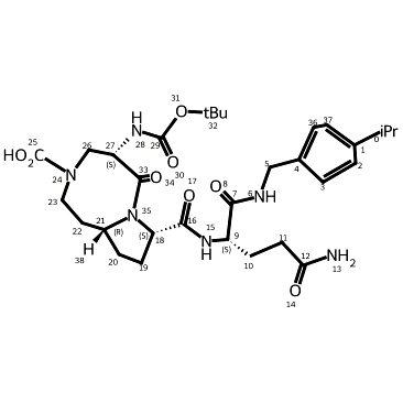 CC(C)c1ccc(CNC(=O)[C@H](CCC(N)=O)NC(=O)[C@@H]2CC[C@@H]3CCN(C(=O)O)C[C@H](NC(=O)OC(C)(C)C)C(=O)N32)cc1